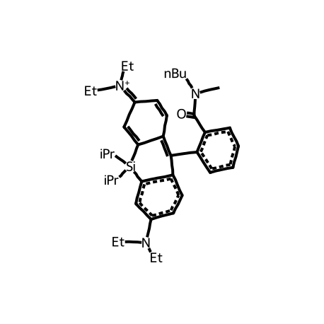 CCCCN(C)C(=O)c1ccccc1C1=C2C=CC(=[N+](CC)CC)C=C2[Si](C(C)C)(C(C)C)c2cc(N(CC)CC)ccc21